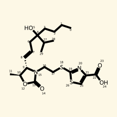 CCCCC(O)(CC=C[C@H]1[C@H](C)OC(=O)N1CCSc1nc(C(=O)O)cs1)C(C)C